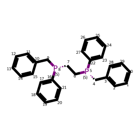 c1ccc(C[P@](CC[P@@](Cc2ccccc2)c2ccccc2)c2ccccc2)cc1